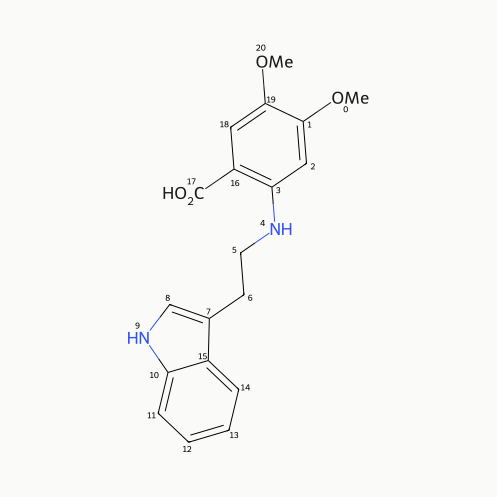 COc1cc(NCCc2c[nH]c3ccccc23)c(C(=O)O)cc1OC